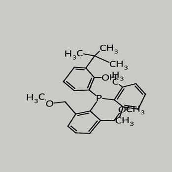 COCc1cccc(COC)c1P(c1cccc(C(C)(C)C)c1O)c1c(C)cccc1C